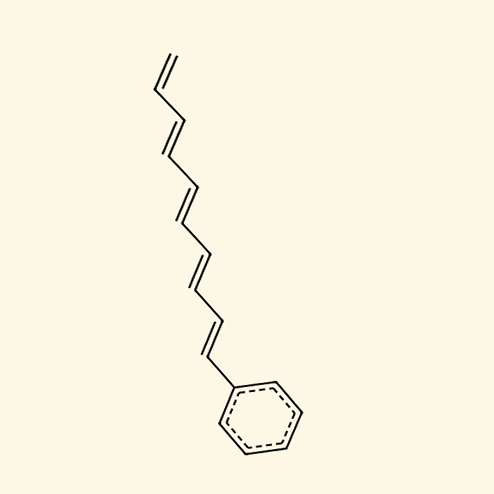 C=CC=CC=CC=CC=Cc1ccccc1